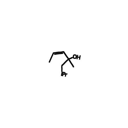 C/C=C\C(C)(O)CC(C)C